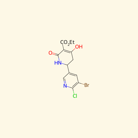 CCOC(=O)C1=C(O)CC(c2cnc(Cl)c(Br)c2)NC1=O